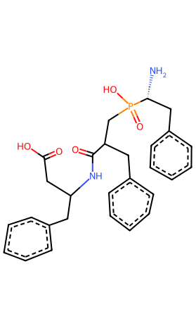 N[C@H](Cc1ccccc1)P(=O)(O)CC(Cc1ccccc1)C(=O)NC(CC(=O)O)Cc1ccccc1